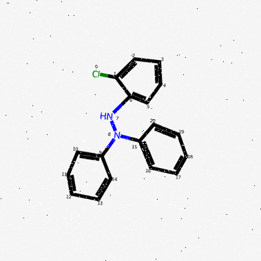 Clc1ccccc1NN(c1ccccc1)c1ccccc1